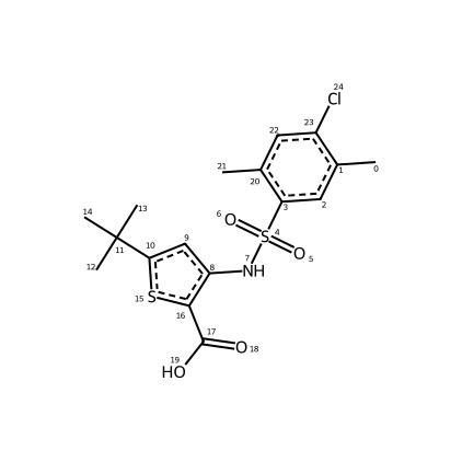 Cc1cc(S(=O)(=O)Nc2cc(C(C)(C)C)sc2C(=O)O)c(C)cc1Cl